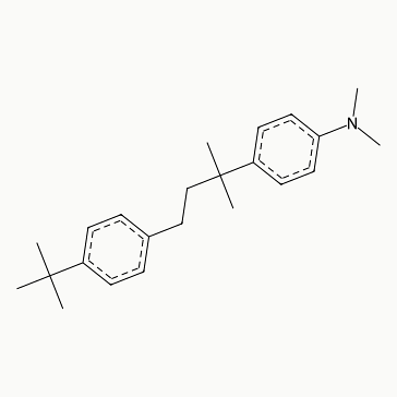 CN(C)c1ccc(C(C)(C)CCc2ccc(C(C)(C)C)cc2)cc1